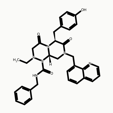 CCN1CC(=O)N2[C@@H](Cc3ccc(O)cc3)C(=O)N(Cc3cccc4cccnc34)C[C@@H]2N1C(=O)NCc1ccccc1